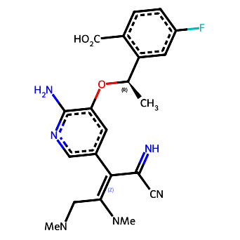 CNC/C(NC)=C(/C(=N)C#N)c1cnc(N)c(O[C@H](C)c2cc(F)ccc2C(=O)O)c1